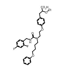 CCOC(Cc1ccc(OCCN(CCCCOc2ccccc2)C(=O)NCc2ccc(F)cc2F)cc1)C(=O)O